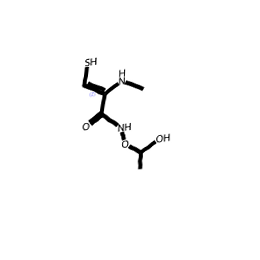 CN/C(=C\S)C(=O)NOC(C)O